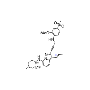 C/C=C/c1c(C#CCNc2ccc(S(C)(=O)=O)cc2OC)nn2c(N[C@@H]3CCN(C)C[C@@H]3F)cccc12